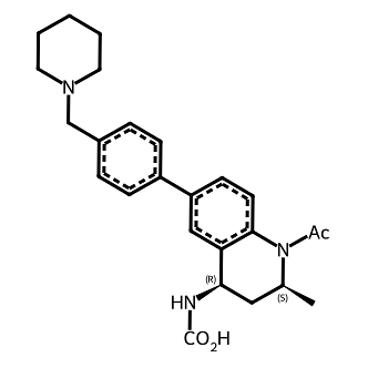 CC(=O)N1c2ccc(-c3ccc(CN4CCCCC4)cc3)cc2[C@H](NC(=O)O)C[C@@H]1C